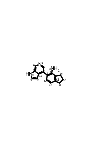 Nc1c(-c2cncc3[nH]ccc23)ccc2c1CCC2